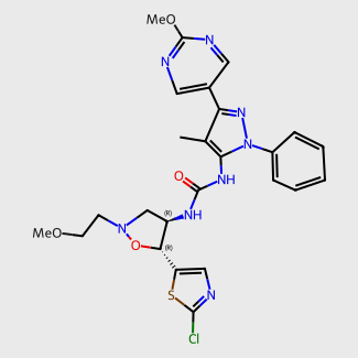 COCCN1C[C@@H](NC(=O)Nc2c(C)c(-c3cnc(OC)nc3)nn2-c2ccccc2)[C@H](c2cnc(Cl)s2)O1